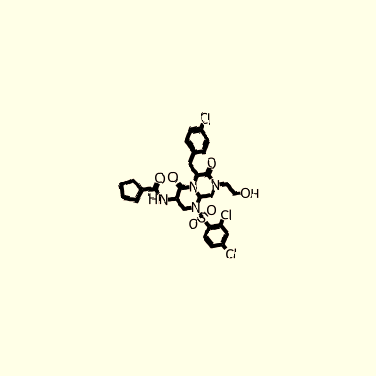 O=C(NC1CN(S(=O)(=O)c2ccc(Cl)cc2Cl)C2CN(CCO)C(=O)C(Cc3ccc(Cl)cc3)N2C1=O)C1CCCC1